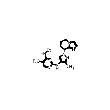 CCNc1nc(Nc2cn([C@@H]3CCCn4ccnc43)nc2C)ncc1C(F)(F)F